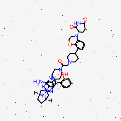 Nc1nnc(-c2ccccc2O)cc1N1C[C@H]2CC[C@@H](C1)N2c1ncc(C2CCN(C(=O)CN3CCC(c4cccc5c4OCCN5[C@H]4CCC(=O)NC4=O)CC3)CC2)cn1